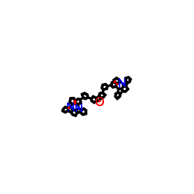 c1ccc(-n2c3ccccc3c3ccc4c(c32)C(c2cccc(-c3cccc(-c5ccc6oc7ccc(-c8cccc(-c9cccc(-n%10c%11ccccc%11c%11ccc%12c%13ccccc%13n(-c%13ccccc%13)c%12c%11%10)c9)c8)cc7c6c5)c3)c2)c2ccccc2-4)cc1